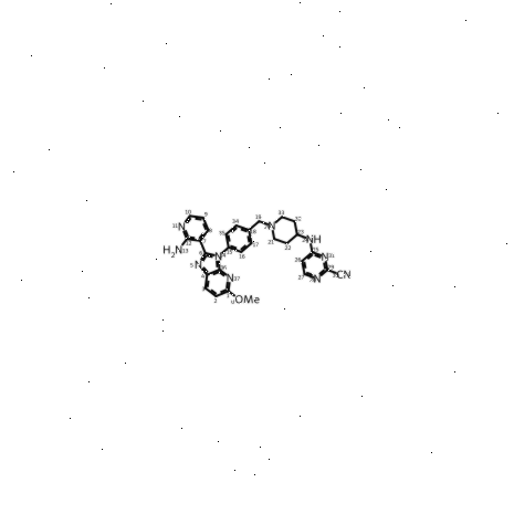 COc1ccc2nc(-c3cccnc3N)n(-c3ccc(CN4CCC(Nc5ccnc(C#N)n5)CC4)cc3)c2n1